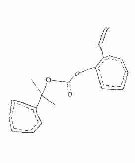 C=Cc1ccccc1OC(=O)OC(C)(C)c1ccccc1